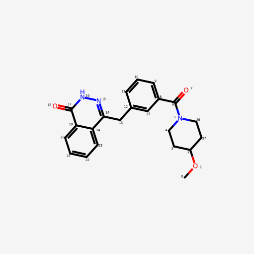 COC1CCN(C(=O)c2cccc(Cc3n[nH]c(=O)c4ccccc34)c2)CC1